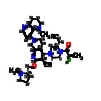 C=C(F)C(=O)N1CCN(c2c(C#N)c(OC[C@@H]3CCCN3C)nc3c2CCN(c2ccnc4c2N(C)CCC4)C3)C[C@@H]1CC#N